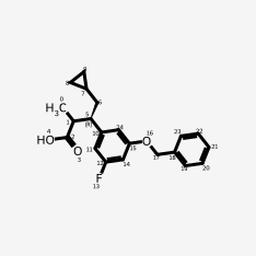 CC(C(=O)O)[C@@H](CC1CC1)c1cc(F)cc(OCc2ccccc2)c1